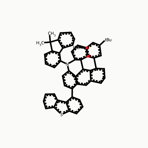 CC(C)(C)c1cc(-c2cccc3cccc(-c4ccccc4N(c4ccc(-c5cccc6sc7ccccc7c56)cc4)c4cccc5c4-c4ccccc4C5(C)C)c23)cc(C(C)(C)C)c1